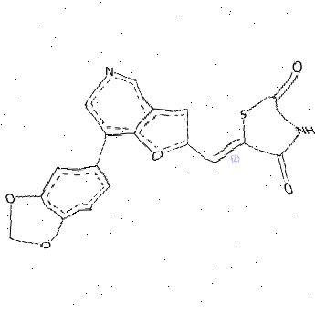 O=C1NC(=O)/C(=C/c2cc3cncc(-c4ccc5c(c4)OCO5)c3o2)S1